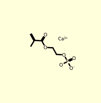 C=C(C)C(=O)OCCOP(=O)([O-])[O-].[Ca+2]